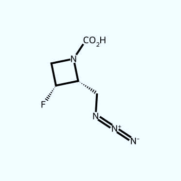 [N-]=[N+]=NC[C@@H]1[C@H](F)CN1C(=O)O